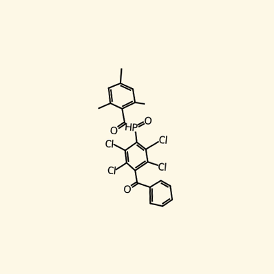 Cc1cc(C)c(C(=O)[PH](=O)c2c(Cl)c(Cl)c(C(=O)c3ccccc3)c(Cl)c2Cl)c(C)c1